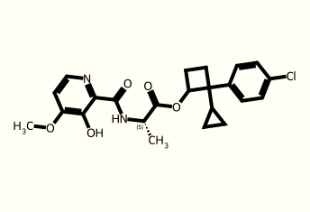 COc1ccnc(C(=O)N[C@@H](C)C(=O)OC2CCC2(c2ccc(Cl)cc2)C2CC2)c1O